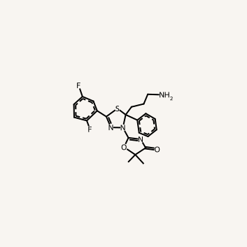 CC1(C)OC(N2N=C(c3cc(F)ccc3F)SC2(CCCN)c2ccccc2)=NC1=O